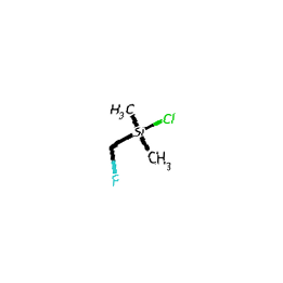 C[Si](C)(Cl)CF